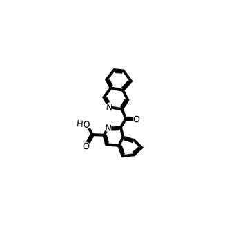 O=C(O)c1cc2ccccc2c(C(=O)c2cc3ccccc3cn2)n1